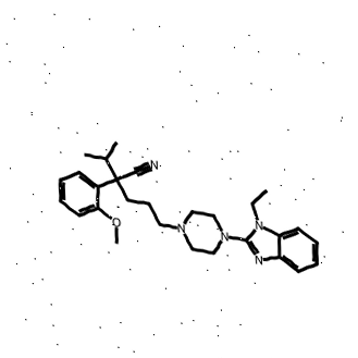 CCn1c(N2CCN(CCCC(C#N)(c3ccccc3OC)C(C)C)CC2)nc2ccccc21